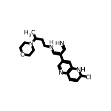 CC(CCN/C=C(\C=N)c1cnc2c(c1)NC(Cl)C=C2)N1CCOCC1